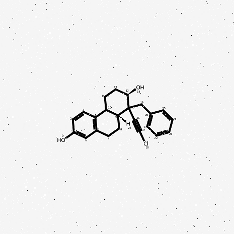 Oc1ccc2c(c1)CC[C@@H]1C2CC[C@@H](O)C1(C#CCl)Cc1ccccc1